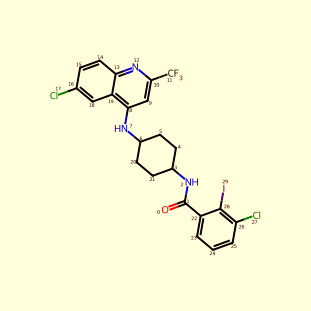 O=C(NC1CCC(Nc2cc(C(F)(F)F)nc3ccc(Cl)cc23)CC1)c1cccc(Cl)c1I